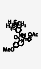 COc1ccc2c(c1)CCN(C(=O)[C@@H]1CC[C@H]1OC(C)=O)C2C(=O)Nc1cc(F)c([Si](C)(C)C)c(F)c1